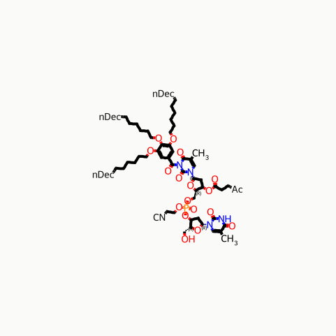 [C-]#[N+]CCOP(=O)(OC[C@H]1O[C@@H](n2cc(C)c(=O)n(C(=O)c3cc(OCCCCCCCCCCCCCCCC)c(OCCCCCCCCCCCCCCCC)c(OCCCCCCCCCCCCCCCC)c3)c2=O)CC1OC(=O)CCC(C)=O)OC1C[C@H](n2cc(C)c(=O)[nH]c2=O)O[C@@H]1CO